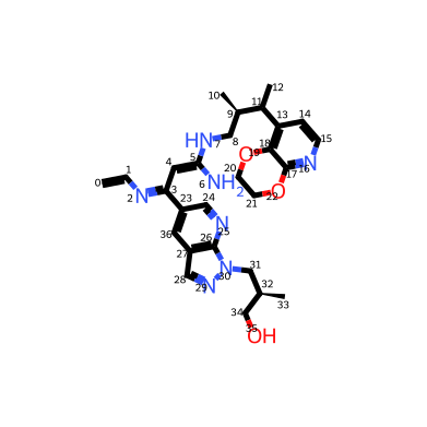 C=C/N=C(\C=C(/N)NC[C@@H](C)C(C)c1ccnc2c1OCCO2)c1cnc2c(cnn2C[C@@H](C)CO)c1